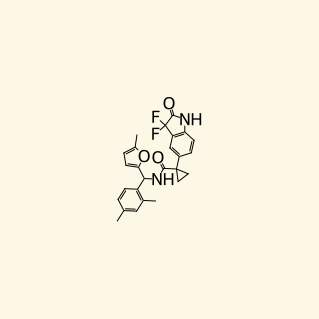 Cc1ccc(C(NC(=O)C2(c3ccc4c(c3)C(F)(F)C(=O)N4)CC2)c2ccc(C)o2)c(C)c1